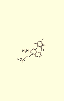 Cc1cc(C)n(C)c(=O)c1-c1cc(N)c(CCC(=O)O)c2ccccc12